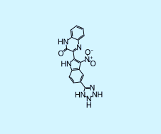 O=c1[nH]c2ccccc2nc1-c1[nH]c2ccc(C3=NNNN3)cc2c1[N+](=O)[O-]